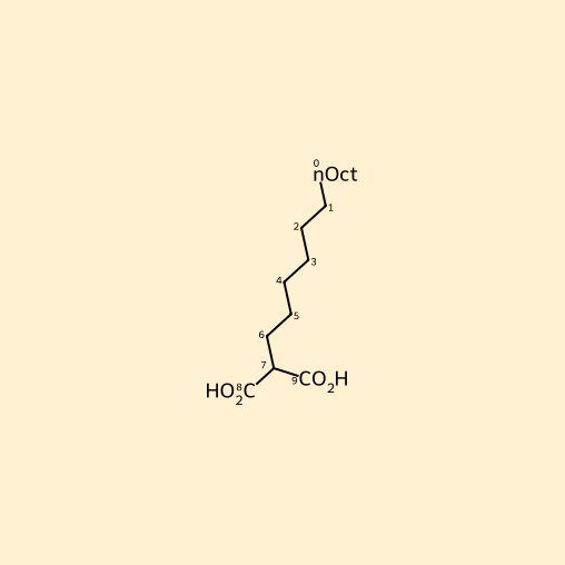 CCCCCCCCCCCCCCC(C(=O)O)C(=O)O